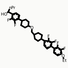 CCCC(O)c1ccc(C2CCC(OCC3CCC(c4ccc(-c5ccc(OCC)c(F)c5F)c(F)c4F)CC3)CC2)c(F)c1F